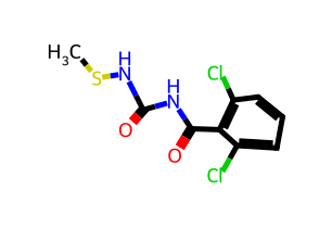 CSNC(=O)NC(=O)c1c(Cl)cccc1Cl